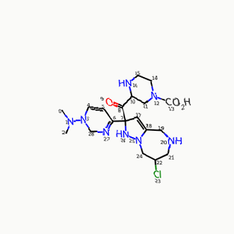 CN(C)N1C=CC(C2(C(=O)C3CN(C(=O)O)CCN3)C=C3CNCC(Cl)CN3N2)=NC1